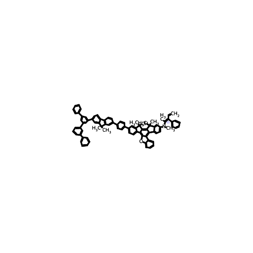 C=C/C(=C(\C)N(C)c1ccc2c(c1)C(C)(C)c1c3c(c4oc5ccccc5c4c1-2)-c1ccc(-c2ccc(-c4ccc5c(c4)C(C)(C)c4cc(-c6cc(-c7ccccc7)cc(-c7cccc(-c8ccccc8)c7)c6)ccc4-5)cc2)cc1C3(C)C)c1ccccc1